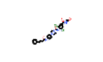 COCCNC(=O)c1cc(Cl)c(NC(=O)N2CCN(c3ccc(NC(=O)CCCc4ccccc4)cc3)CC2)c(Cl)c1